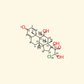 C[C@]12C=CC(=O)C=C1CC[C@@H]1[C@@H]2C(O)C[C@@]2(C)[C@H]1CC[C@]2(O)C(=O)C(O)Cl